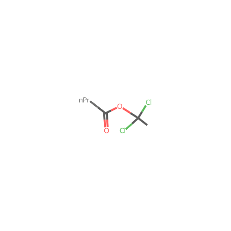 CCCC(=O)OC(C)(Cl)Cl